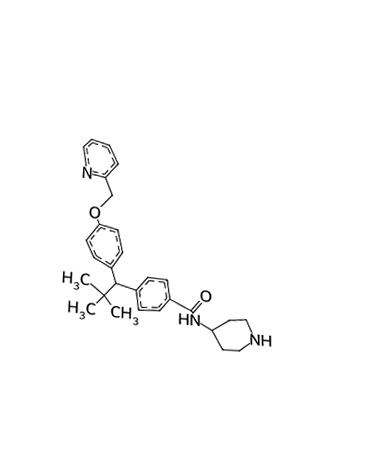 CC(C)(C)C(c1ccc(OCc2ccccn2)cc1)c1ccc(C(=O)NC2CCNCC2)cc1